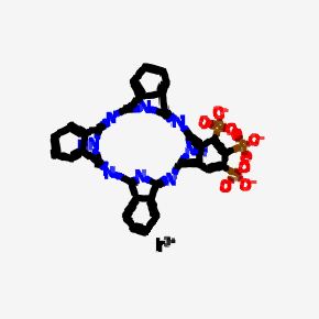 O=S(=O)([O-])c1cc2c3nc4nc(nc5[nH]c(nc6nc(nc([nH]3)c2c(S(=O)(=O)[O-])c1S(=O)(=O)[O-])-c1ccccc1-6)c1ccccc51)-c1ccccc1-4.[Ir+3]